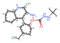 CC(C)(C)NNC(=O)Oc1ccc(CCl)cc1-c1c(N)c(Cl)nc2ccccc12